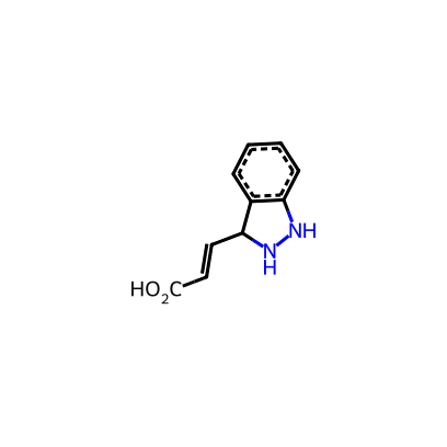 O=C(O)C=CC1NNc2ccccc21